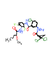 CCCC(OCC)C(=O)Nc1c(F)ccc(NC(=O)c2cc(NC(=O)C3CC3(Cl)Cl)ccc2Cl)c1F